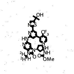 [2H]C([2H])([2H])n1c(=O)n([C@@H]2CC[C@@]([2H])(NC(=O)OC)C2)c2cc(Nc3cc(-c4cnccc4C(F)(F)F)cc(-c4ncc(C(C)(C)O)s4)n3)ncc21